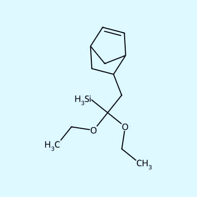 CCOC([SiH3])(CC1CC2C=CC1C2)OCC